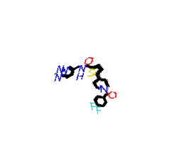 O=C(NCc1ccc2ncnn2c1)c1ccc(C2CCN(C(=O)C3CCC(F)(F)CC3)CC2)s1